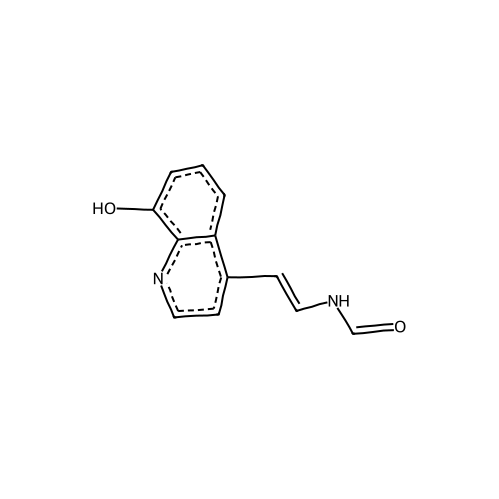 O=CNC=Cc1ccnc2c(O)cccc12